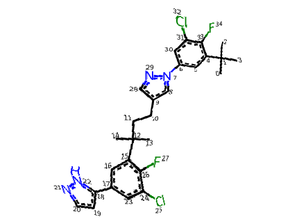 CC(C)(C)c1cc(-n2cc(CCC(C)(C)c3cc(-c4ccn[nH]4)cc(Cl)c3F)cn2)cc(Cl)c1F